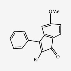 COc1ccc2c(c1)C(c1ccccc1)=C(Br)C2=O